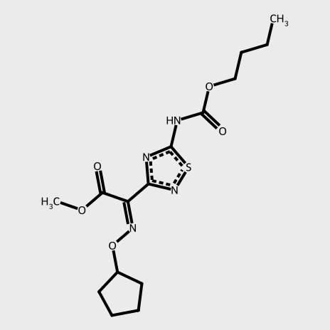 CCCCOC(=O)Nc1nc(C(=NOC2CCCC2)C(=O)OC)ns1